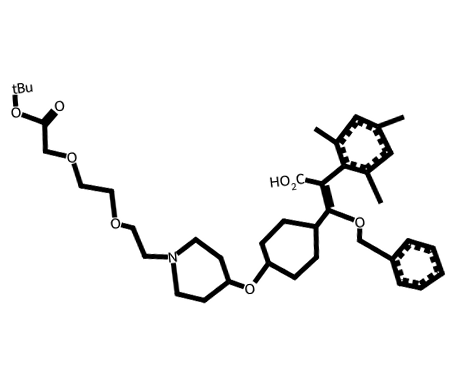 Cc1cc(C)c(/C(C(=O)O)=C(\OCc2ccccc2)C2CCC(OC3CCN(CCOCCOCC(=O)OC(C)(C)C)CC3)CC2)c(C)c1